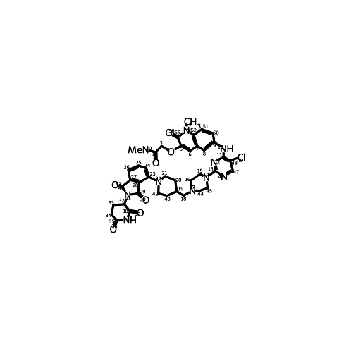 CNC(=O)COc1cc2cc(Nc3nc(N4CCN(CC5CCN(c6cccc7c6C(=O)N(C6CCC(=O)NC6=O)C7=O)CC5)CC4)ncc3Cl)ccc2n(C)c1=O